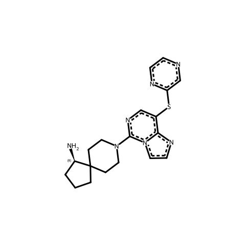 N[C@@H]1CCCC12CCN(c1ncc(Sc3cnccn3)c3nccn13)CC2